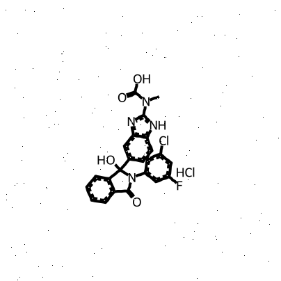 CN(C(=O)O)c1nc2cc(C3(O)c4ccccc4C(=O)N3c3cc(F)cc(Cl)c3)ccc2[nH]1.Cl